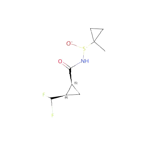 CC1([S+]([O-])NC(=O)[C@H]2C[C@H]2C(F)F)CC1